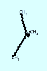 CCCCCCCCCCCCCCCCn1cc[n+](CC)c1CCCCCCCCCCCCCC